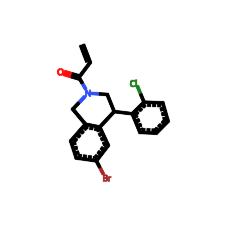 C=CC(=O)N1Cc2ccc(Br)cc2C(c2ccccc2Cl)C1